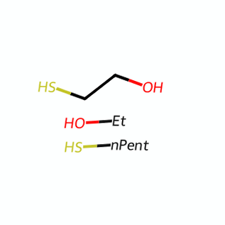 CCCCCS.CCO.OCCS